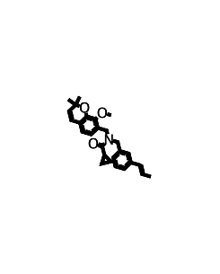 C/C=C/c1cccc(CN(Cc2ccc3c(c2OC)OC(C)(C)C=C3)C(=O)C2CC2)c1